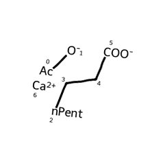 CC(=O)[O-].CCCCCCCC(=O)[O-].[Ca+2]